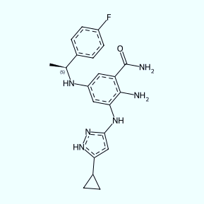 C[C@H](Nc1cc(Nc2cc(C3CC3)[nH]n2)c(N)c(C(N)=O)c1)c1ccc(F)cc1